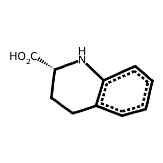 O=C(O)[C@H]1CCc2ccccc2N1